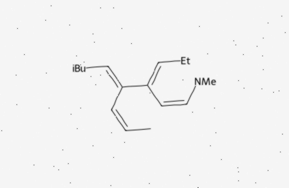 C\C=C/C(=C\C(C)CC)C(/C=C\NC)=C/CC